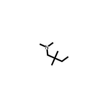 CCC(C)(C)CN(C)C